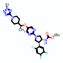 CCn1nnc(N2CCC([C@H](C)Oc3cnc(N4C[C@H](NC(=O)OC(C)(C)C)[C@@H](C5=CC(F)C(F)C=C5F)C4)nc3)CC2)n1